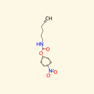 C#CCCCCNC(=O)Oc1ccc([N+](=O)[O-])cc1